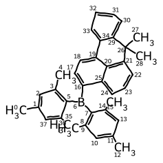 Cc1cc(C)c(B(c2c(C)cc(C)cc2C)c2ccc3c4c(cccc24)C(C)(C)c2ccccc2-3)c(C)c1